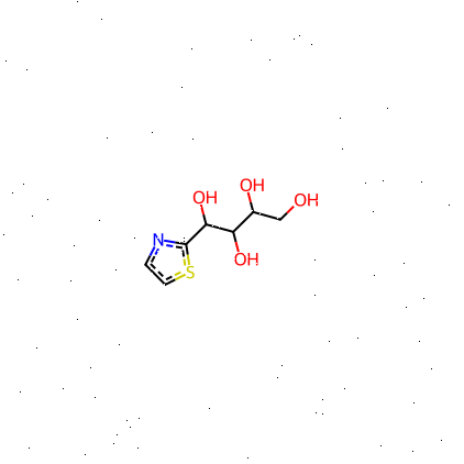 OCC(O)C(O)C(O)c1nccs1